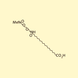 CNC(=O)COCCOCCNC(=O)CCCCCCCCCCCCCCCCCCC(=O)O